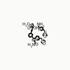 CN1CC[C@@](O)(C#Cc2cccc(-c3nc(C(N)=O)n4cc(CN5CCOCC5)ccc34)c2)C1=O.NCc1ccc(CN2CCOCC2)cn1